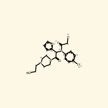 CC(C)(C)CCN1CCN(C(=O)C(c2cccs2)N(C(=O)CCl)c2ccc(C(F)(F)F)cc2)CC1